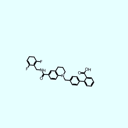 O=C(NCC1=C(F)CCC=C1F)c1ccc2c(c1)CCCN2Cc1ccc(-c2ccccc2C(=O)O)cc1